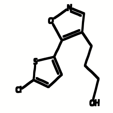 OCCCc1cnoc1-c1ccc(Cl)s1